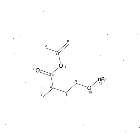 C=C(C)OC(=O)C(C)CCOCCC